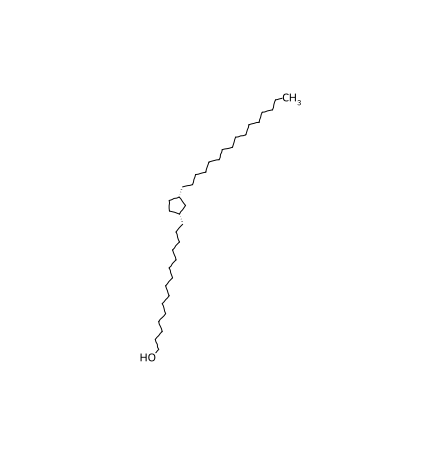 CCCCCCCCCCCCCCCC[C@H]1CC[C@@H](CCCCCCCCCCCCCCCO)C1